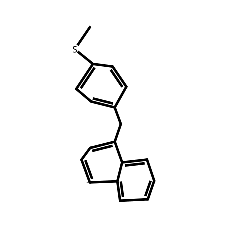 CSc1ccc(Cc2cc[c]c3ccccc23)cc1